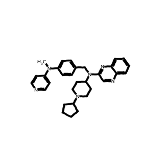 CN(c1ccncc1)c1ccc(CN(c2cnc3ccccc3n2)C2CCN(C3CCCC3)CC2)cc1